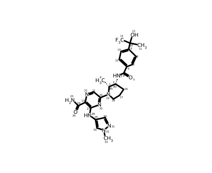 C[C@@H]1[C@H](NC(=O)c2ccc(C(C)(O)C(F)(F)F)cc2)CCCN1c1cnc(C(N)=O)c(Nc2cnn(C)c2)n1